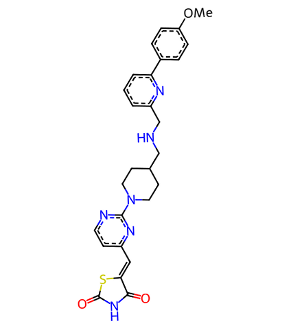 COc1ccc(-c2cccc(CNCC3CCN(c4nccc(/C=C5\SC(=O)NC5=O)n4)CC3)n2)cc1